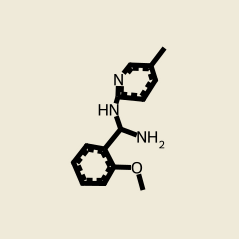 COc1ccccc1C(N)Nc1ccc(C)cn1